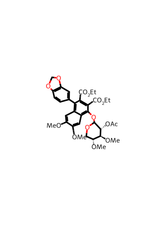 CCOC(=O)c1c(C(=O)OCC)c(-c2ccc3c(c2)OCO3)c2cc(OC)c(OC)cc2c1OC1OC[C@@H](OC)[C@H](OC)[C@H]1OC(C)=O